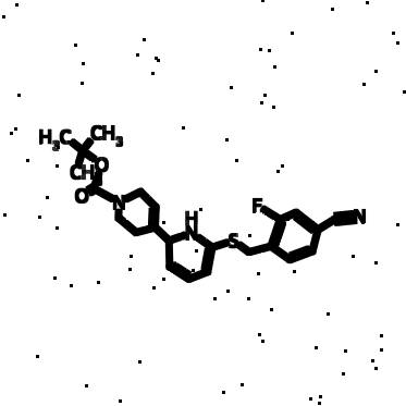 CC(C)(C)OC(=O)N1CC=C(C2C=CC=C(SCc3ccc(C#N)cc3F)N2)CC1